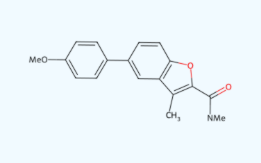 CNC(=O)c1oc2ccc(-c3ccc(OC)cc3)cc2c1C